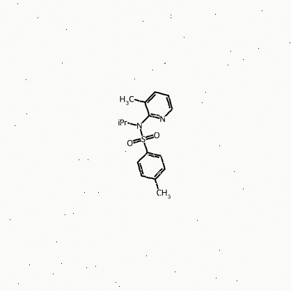 Cc1ccc(S(=O)(=O)N(c2ncccc2C)C(C)C)cc1